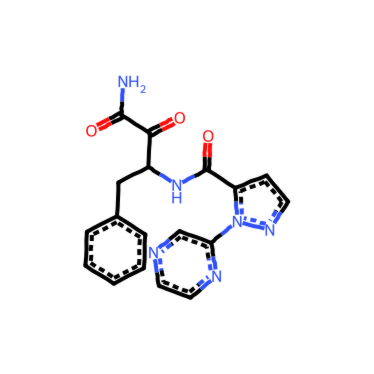 NC(=O)C(=O)C(Cc1ccccc1)NC(=O)c1ccnn1-c1cnccn1